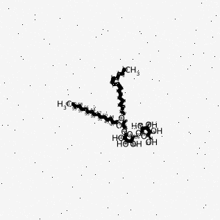 CCCCC/C=C\C/C=C\CCCCCCCCOCC(CO[C@@H]1O[C@H](CO[C@H]2O[C@H](CO)[C@H](O)[C@H](O)[C@H]2O)[C@H](O)[C@H](O)[C@H]1O)OCCCCCCCCCCCCCCCC